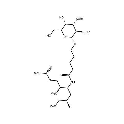 COC[C@H](C)CC(NC(=S)CCCCO[C@@H]1O[C@H](CO)[C@H](O)[C@H](OC)[C@H]1NC(C)=O)[C@H](CO[PH](=S)OC)OC